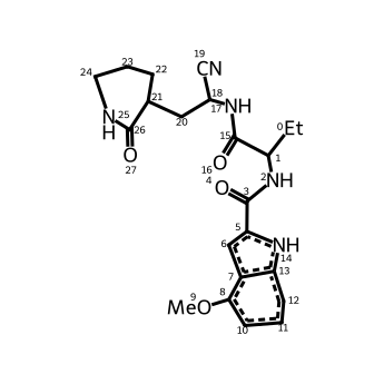 CCC(NC(=O)c1cc2c(OC)cccc2[nH]1)C(=O)NC(C#N)CC1CCCNC1=O